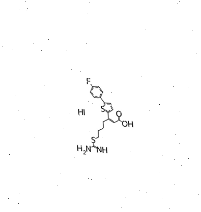 I.N=C(N)SCCCC/C(=C/C(=O)O)c1ccc(-c2ccc(F)cc2)s1